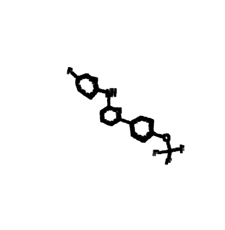 Fc1ccc(Nc2cccc(-c3ccc(OC(F)(F)F)cc3)n2)cc1